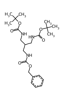 CC(C)(C)OC(=O)NC[C](CNC(=O)OCc1ccccc1)CNC(=O)OC(C)(C)C